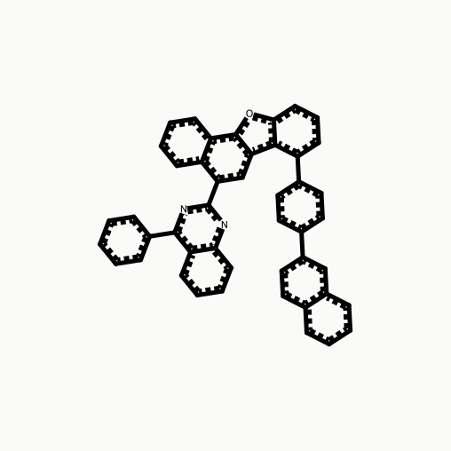 c1ccc(-c2nc(-c3cc4c(oc5cccc(-c6ccc(-c7ccc8ccccc8c7)cc6)c54)c4ccccc34)nc3ccccc23)cc1